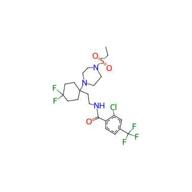 CCS(=O)(=O)N1CCN(C2(CCNC(=O)c3ccc(C(F)(F)F)cc3Cl)CCC(F)(F)CC2)CC1